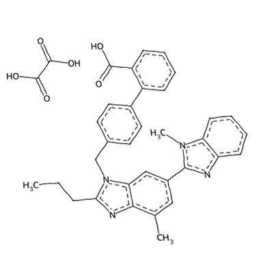 CCCc1nc2c(C)cc(-c3nc4ccccc4n3C)cc2n1Cc1ccc(-c2ccccc2C(=O)O)cc1.O=C(O)C(=O)O